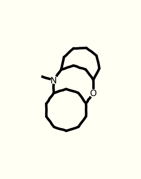 CN1C2CCCCCCC(CC2)OC2CCCCCC1CC2